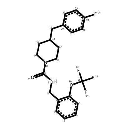 O=C(NCc1ccccc1OC(F)(F)F)N1CCC(Cc2ccc(F)cc2)CC1